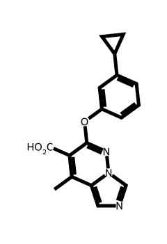 Cc1c(C(=O)O)c(Oc2cccc(C3CC3)c2)nn2cncc12